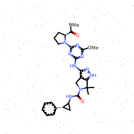 CNC(=O)[C@@H]1CCCN1c1nc(Nc2n[nH]c3c2CN(C(=O)NC2C[C@@H]2c2ccccc2)C3(C)C)nc(OC)n1